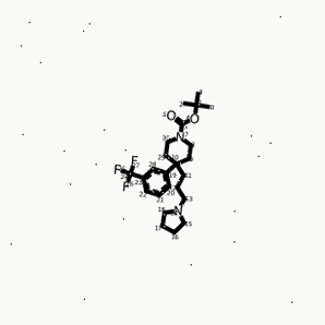 CC(C)(C)OC(=O)N1CCC(CCCN2CCCC2)(c2cccc(C(F)(F)F)c2)CC1